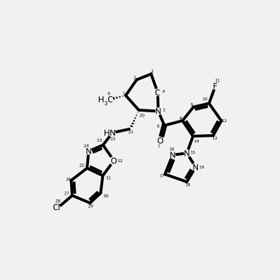 C[C@@H]1CCCN(C(=O)c2cc(F)ccc2-n2nccn2)[C@@H]1CNc1nc2cc(Cl)ccc2o1